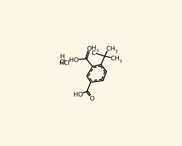 CC(C)(C)c1ccc(C(=O)O)cc1C(=O)O.Cl.Cl